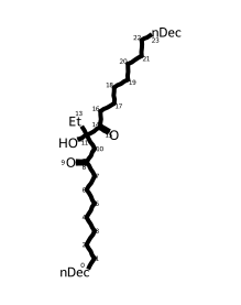 CCCCCCCCCCCCCCCCCC(=O)[CH]C(O)(CC)C(=O)CCCCCCCCCCCCCCCCC